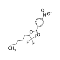 CCCCCCC(OC(=O)c1ccc([N+](=O)[O-])cc1)C(F)(F)F